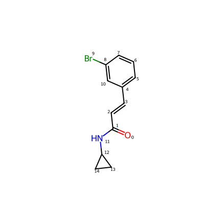 O=C(C=Cc1cccc(Br)c1)NC1CC1